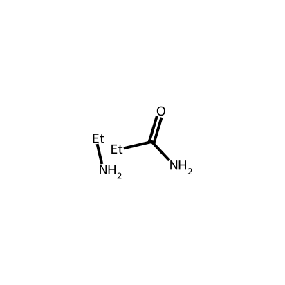 CCC(N)=O.CCN